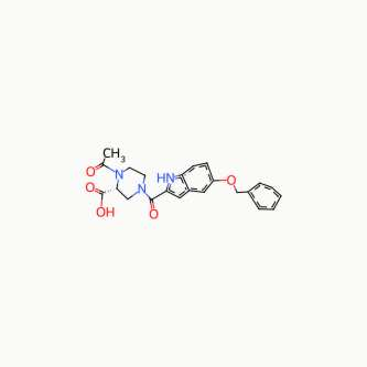 CC(=O)N1CCN(C(=O)c2cc3cc(OCc4ccccc4)ccc3[nH]2)C[C@@H]1C(=O)O